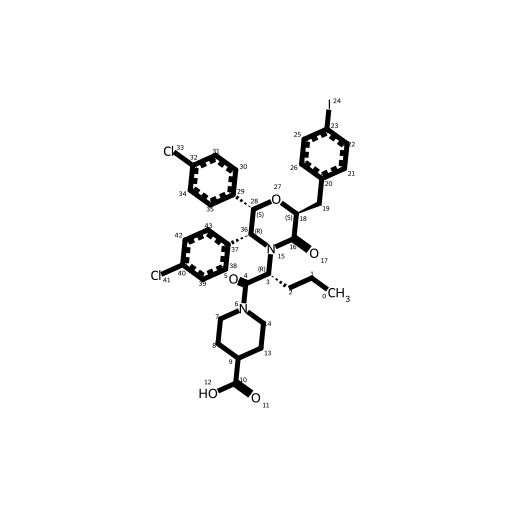 CCC[C@H](C(=O)N1CCC(C(=O)O)CC1)N1C(=O)[C@H](Cc2ccc(I)cc2)O[C@@H](c2ccc(Cl)cc2)[C@H]1c1ccc(Cl)cc1